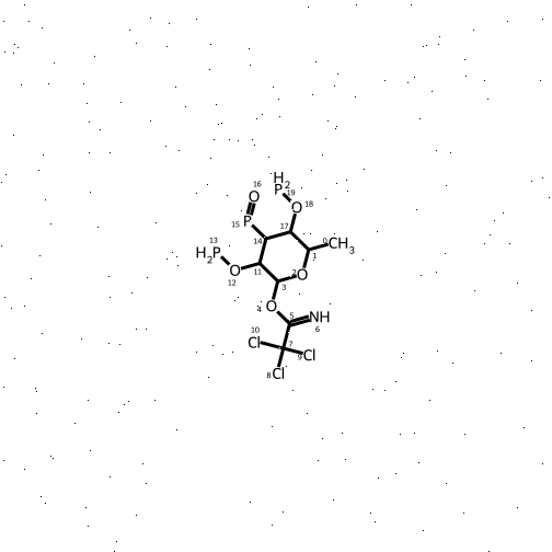 CC1OC(OC(=N)C(Cl)(Cl)Cl)C(OP)C(P=O)C1OP